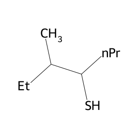 CCCC(S)C(C)CC